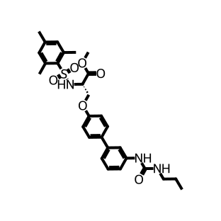 CCCNC(=O)Nc1cccc(-c2ccc(OC[C@H](NS(=O)(=O)c3c(C)cc(C)cc3C)C(=O)OC)cc2)c1